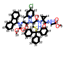 COC(=O)CNC(=O)C1(NC(=O)[C@@H](CSC(c2ccccc2)(c2ccccc2)c2ccccc2)NC(=O)[C@@H](Cc2cccc(Cl)c2)N(C(=O)OC)C2c3ccccc3-c3ccccc32)CC1